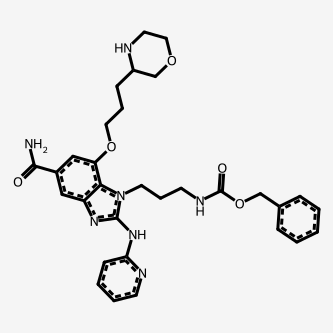 NC(=O)c1cc(OCCCC2COCCN2)c2c(c1)nc(Nc1ccccn1)n2CCCNC(=O)OCc1ccccc1